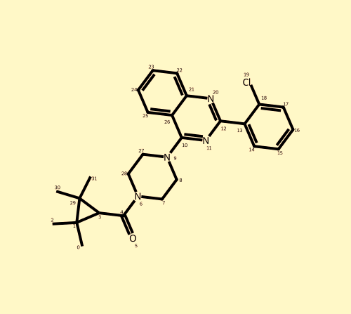 CC1(C)C(C(=O)N2CCN(c3nc(-c4ccccc4Cl)nc4ccccc34)CC2)C1(C)C